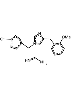 COc1ccccc1Cc1cn(Cc2ccc(Cl)cc2)cn1.N=CN